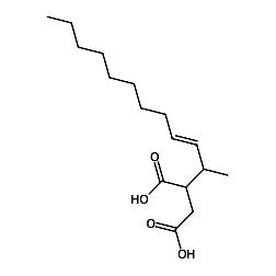 CCCCCCCCC=CC(C)C(CC(=O)O)C(=O)O